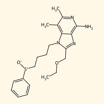 CCOCc1nc2c(N)nc(C)c(C)c2n1CCCC[S+]([O-])c1ccccc1